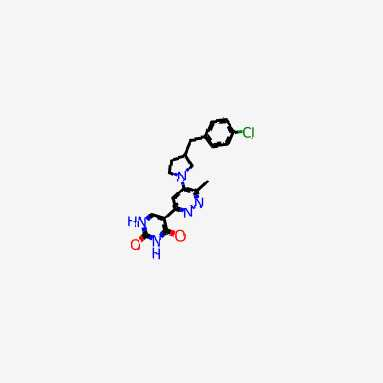 Cc1nnc(-c2c[nH]c(=O)[nH]c2=O)cc1N1CCC(Cc2ccc(Cl)cc2)C1